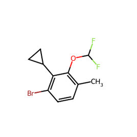 Cc1ccc(Br)c(C2CC2)c1OC(F)F